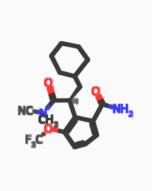 CN(C#N)C(=O)[C@@H](CC1CCCCC1)c1c(OC(F)(F)F)cccc1C(N)=O